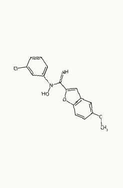 COc1ccc2oc(C(=N)N(O)c3cccc(Cl)c3)cc2c1